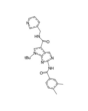 Cc1ccc(C(=O)Nc2ncc3c(C(=O)NCc4cccnc4)cn(C(C)(C)C)c3n2)cc1C